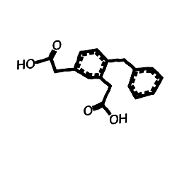 O=C(O)Cc1ccc(Cc2ccccc2)c(CC(=O)O)c1